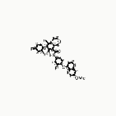 COc1cnc2c(Oc3ccc(NC(=O)c4c5n(c(C)c(-c6ccc(F)cc6C)c4=O)CCOC5)cc3F)ccnc2c1